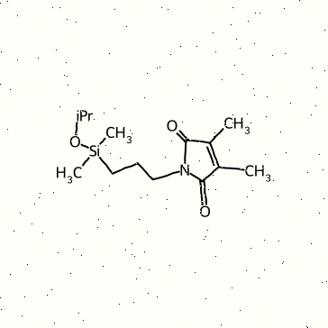 CC1=C(C)C(=O)N(CCC[Si](C)(C)OC(C)C)C1=O